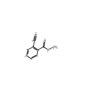 COC(=O)c1ccncc1C#N